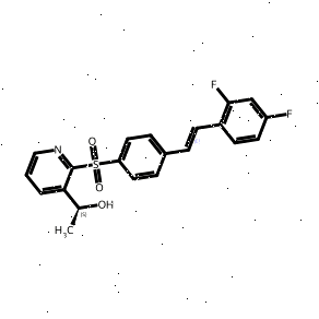 C[C@H](O)c1cccnc1S(=O)(=O)c1ccc(/C=C/c2ccc(F)cc2F)cc1